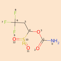 NC(=O)OC(CC(F)(F)F)[SH](=O)=O